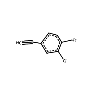 C#Cc1ccc(C(C)C)c(Cl)c1